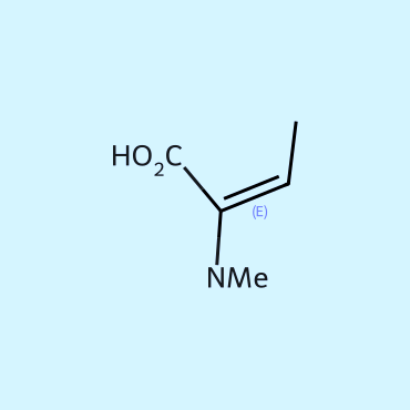 C/C=C(/NC)C(=O)O